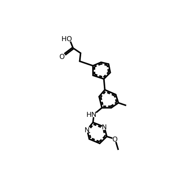 COc1ccnc(Nc2cc(C)cc(-c3cccc(CCC(=O)O)c3)c2)n1